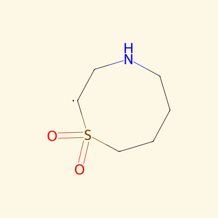 O=S1(=O)[CH]CNCCCC1